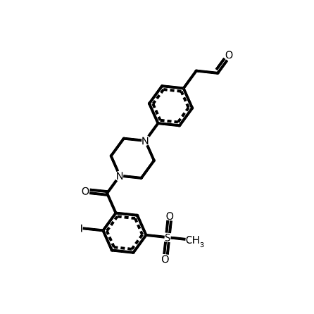 CS(=O)(=O)c1ccc(I)c(C(=O)N2CCN(c3ccc(CC=O)cc3)CC2)c1